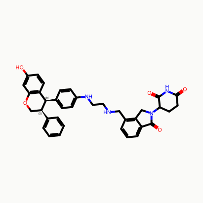 O=C1CCC(N2Cc3c(CNCCNc4ccc([C@@H]5c6ccc(O)cc6OC[C@@H]5c5ccccc5)cc4)cccc3C2=O)C(=O)N1